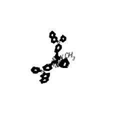 CC12CCC(c3nc4c(-c5ccc(N(c6ccccc6)c6ccc7ccccc7c6)cc5)sc(-c5ccc(N(c6ccccc6)c6ccc7ccccc7c6)cc5)c4nc31)C2(C)C